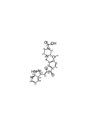 COc1ccc2c(c1CN1CCN(C(=O)O)CC1)O/C(=C\c1n[nH]c3ncccc13)C2=O